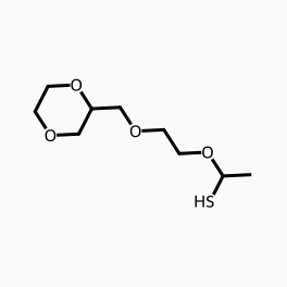 CC(S)OCCOCC1COCCO1